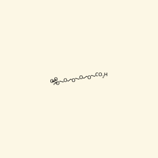 CS(=O)(=O)OCCOCCOCCOCCOCCC(=O)O